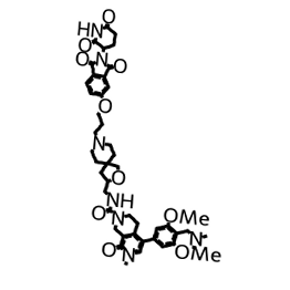 COc1cc(-c2cn(C)c(=O)c3c2CCN(C(=O)NCC2CC4(CCN(CCCOc5ccc6c(c5)C(=O)N(C5CCC(=O)NC5=O)C6=O)CC4)CO2)C3)cc(OC)c1CN(C)C